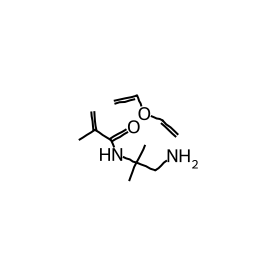 C=C(C)C(=O)NC(C)(C)CN.C=COC=C